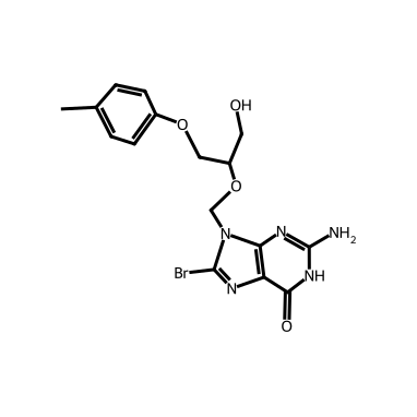 Cc1ccc(OCC(CO)OCn2c(Br)nc3c(=O)[nH]c(N)nc32)cc1